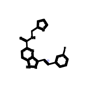 O=C(NCc1ccco1)c1ccc2[nH]nc(/C=C/c3cccc(F)c3)c2n1